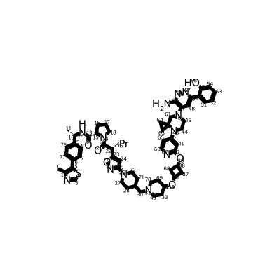 Cc1ncsc1-c1ccc([C@H](C)NC(=O)[C@@H]2CCCN2C(=O)[C@@H](c2cc(N3CCC(CN4CCC(OC5CC(Oc6cc(N7CCN(c8cc(-c9ccccc9O)nnc8N)CC78CC8)ccn6)C5)CC4)CC3)no2)C(C)C)cc1